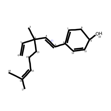 C=CC(C)(/C=C/C1=CCC(O)C=C1)CCC=C(C)C